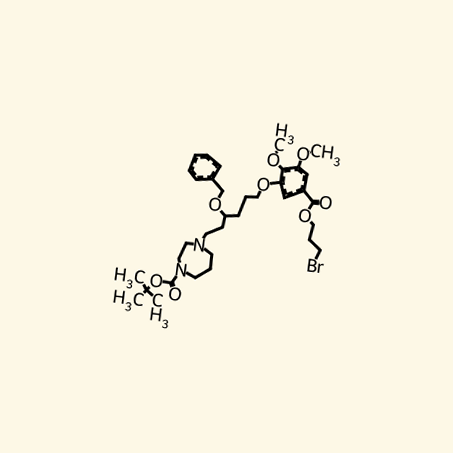 COc1cc(C(=O)OCCCBr)cc(OCCCC(CCN2CCCN(C(=O)OC(C)(C)C)CC2)OCc2ccccc2)c1OC